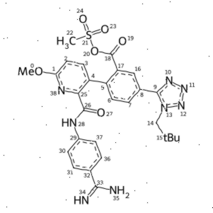 COc1ccc(-c2ccc(-c3nnnn3CC(C)(C)C)cc2C(=O)OS(C)(=O)=O)c(C(=O)Nc2ccc(C(=N)N)cc2)n1